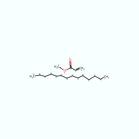 C=CC(=O)OC.CCCCCCCCCCCCCC